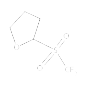 O=S(=O)(C1CCCO1)C(F)(F)F